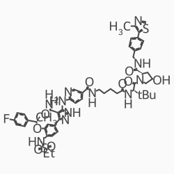 CCS(=O)(=O)Nc1ccc(-c2n[nH]c(Nc3ccc(C(=O)NCCCCC(=O)N[C@@H](C(=O)N4C[C@@H](O)C[C@@H]4C(=O)NCc4ccc(-c5scnc5C)cc4)C(C)(C)C)cn3)c2C(N)=O)cc1O[C@H](C)c1ccc(F)cc1